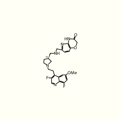 COc1cc(F)c2ncc(F)c(CCN3CC[C@@H](CNCc4ccc5c(n4)NC(=O)CO5)C3)c2c1